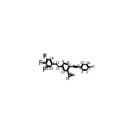 Cc1ccc(C#Cc2ccc(CCc3cc(F)c(F)c(F)c3)cc2C2CC2)cc1